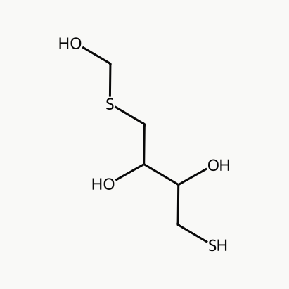 OCSCC(O)C(O)CS